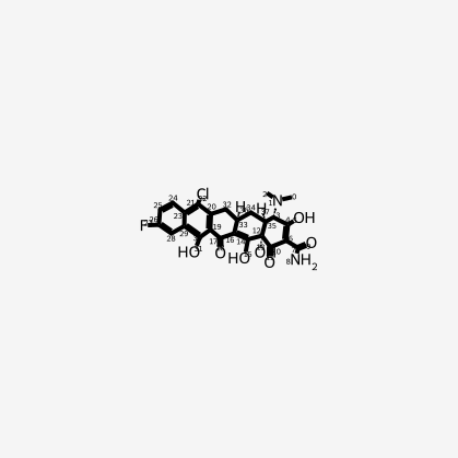 CN(C)[C@@H]1C(O)=C(C(N)=O)C(=O)[C@@]2(O)C(O)=C3C(=O)c4c(c(Cl)c5ccc(F)cc5c4O)C[C@H]3C[C@@H]12